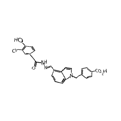 O=C(O)c1ccc(Cn2ccc3c(/C=N/NC(=O)c4ccc(O)c(Cl)c4)cccc32)cc1